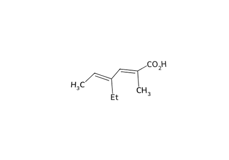 C/C=C(/C=C(\C)C(=O)O)CC